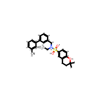 CC1(C)CCc2cc(S(=O)(=O)N(CC(=O)O)Cc3cccc(-c4cccc(C#N)c4)c3)ccc2O1